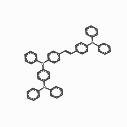 C(=Cc1ccc(N(c2ccccc2)c2ccc(N(c3ccccc3)c3ccccc3)cc2)cc1)c1ccc(N(c2ccccc2)c2ccccc2)cc1